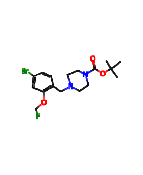 CC(C)(C)OC(=O)N1CCN(Cc2ccc(Br)cc2OCF)CC1